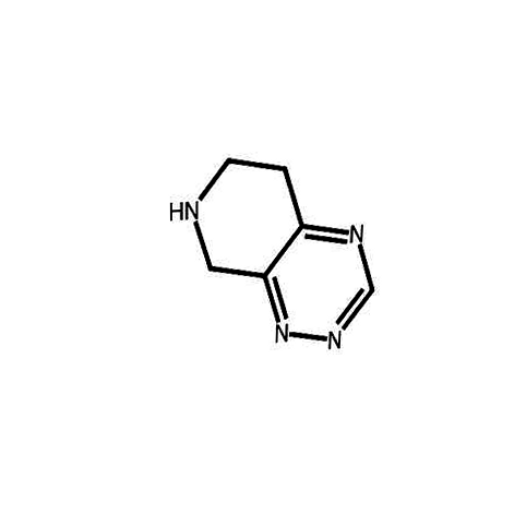 c1nnc2c(n1)CCNC2